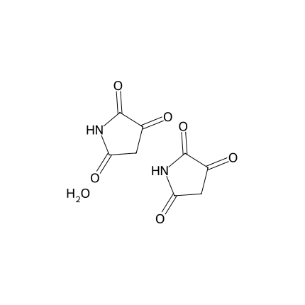 O.O=C1CC(=O)C(=O)N1.O=C1CC(=O)C(=O)N1